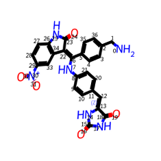 NCc1ccc(C(Nc2ccc(/C=C3\NC(=O)NC3=O)cc2)=C2C(=O)Nc3ccc([N+](=O)[O-])cc32)cc1